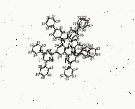 c1ccc(-c2ccc3c(c2)c2cc(-c4ccccc4)ccc2n3-c2cc(-c3nc(-c4ccccc4)cc(-c4ccccc4)n3)cc(-c3nc(-c4ccccc4)cc(-c4ccccc4)n3)c2-n2c3ccc(-c4ccccc4)cc3c3cc(-c4ccccc4)ccc32)cc1